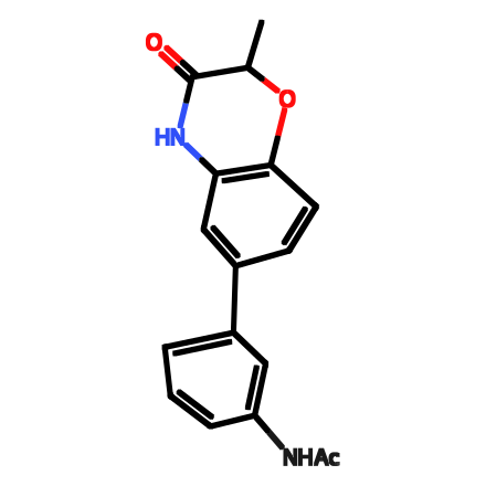 CC(=O)Nc1cccc(-c2ccc3c(c2)NC(=O)C(C)O3)c1